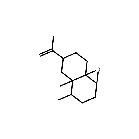 C=C(C)C1CCC23OC2CCC(C)C3(C)C1